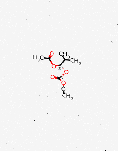 CCOC(=O)O[C@H](OC(C)=O)C(C)C